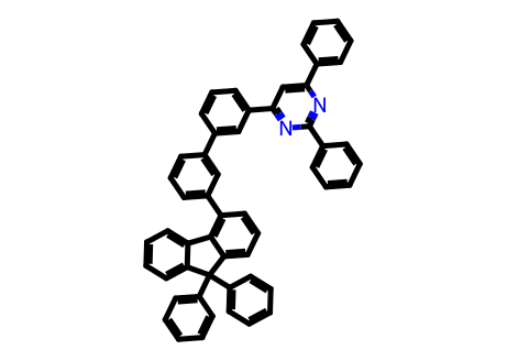 c1ccc(-c2cc(-c3cccc(-c4cccc(-c5cccc6c5-c5ccccc5C6(c5ccccc5)c5ccccc5)c4)c3)nc(-c3ccccc3)n2)cc1